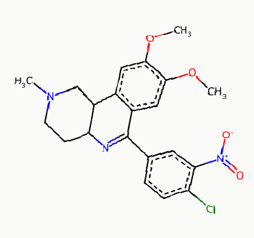 COc1cc2c(cc1OC)C1CN(C)CCC1N=C2c1ccc(Cl)c([N+](=O)[O-])c1